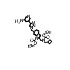 CC(C)(C)OC(=O)N(Cc1cc2ccc(Cn3cc(-c4cncc(N)c4)nn3)cc2n1C(=O)OC(C)(C)C)CC1CCC1